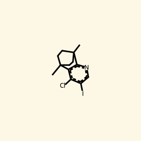 CC12CCC(C)(CC1)c1c2ncc(I)c1Cl